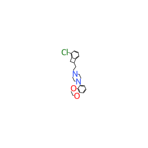 Clc1cccc2c1CC2CCN1CCN(c2cccc3c2OCCO3)CC1